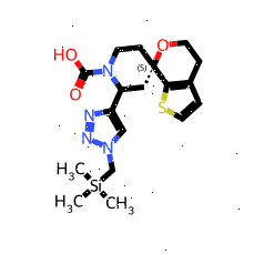 C[Si](C)(C)Cn1cc(C2C[C@]3(CCN2C(=O)O)OCCc2ccsc23)nn1